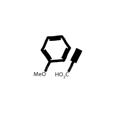 C#CC(=O)O.COc1ccccc1